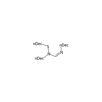 CCCCCCCCCC/N=C\N(CCCCCCCCCC)SCCCCCCCCCC